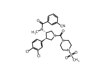 CN(C(=O)c1cccc(C#N)c1)[C@@H]1CN(C(=O)N2CCN(S(C)(=O)=O)CC2)C[C@H]1c1ccc(Cl)c(Cl)c1